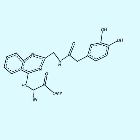 COC(=O)[C@@H](Nc1nc(CNC(=O)Cc2ccc(O)c(O)c2)nc2ccccc12)C(C)C